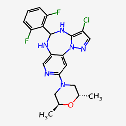 C[C@H]1CN(c2cc3c(cn2)NC(c2c(F)cccc2F)Nc2c(Cl)cnn2-3)C[C@H](C)O1